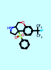 O=S(=O)(c1ccccc1)C12CCNC1COc1cc(C(F)(C(F)(F)F)C(F)(F)F)ccc12